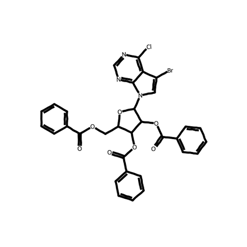 O=C(OCC1OC(n2cc(Br)c3c(Cl)ncnc32)C(OC(=O)c2ccccc2)C1OC(=O)c1ccccc1)c1ccccc1